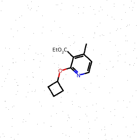 CCOC(=O)c1c(C)ccnc1OC1CCC1